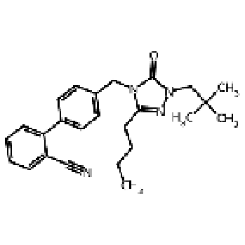 CCCCc1nn(CC(C)(C)C)c(=O)n1Cc1ccc(-c2ccccc2C#N)cc1